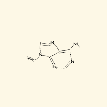 Nc1ncnc2c1nc[n]2[PbH]